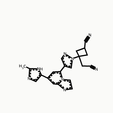 Cc1ncc(-c2cc(-c3cnn(C4(CC#N)CC(C#N)C4)c3)n3ccnc3c2)[nH]1